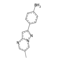 Bc1ccc(-c2cc3ncc(C)cn3n2)cc1